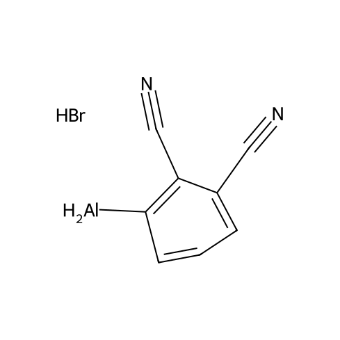 Br.N#Cc1ccc[c]([AlH2])c1C#N